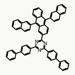 c1ccc(-c2ccc(-c3nc(-c4ccc(-c5ccccc5)cc4)nc(-c4ccc5c(-c6ccc7ccccc7c6)c6ccccc6c(-c6ccc7ccccc7c6)c5c4)n3)cc2)cc1